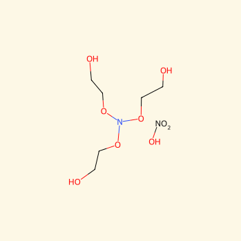 O=[N+]([O-])O.OCCON(OCCO)OCCO